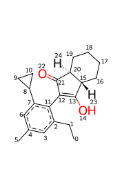 CCc1cc(C)cc(C2CC2)c1C1=C(O)[C@H]2CCCC[C@@H]2C1=O